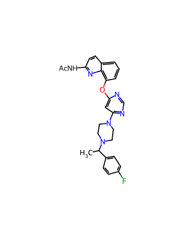 CC(=O)Nc1ccc2cccc(Oc3cc(N4CCN(C(C)c5ccc(F)cc5)CC4)ncn3)c2n1